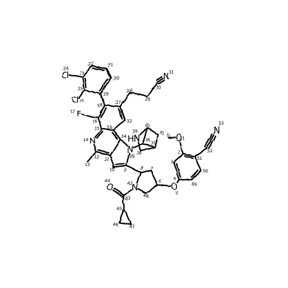 COc1cc(OC2CC(c3cc4c(C)nc5c(F)c(-c6cccc(Cl)c6Cl)c(CCC#N)cc5c4n3C3C4CNC3C4)N(C(=O)C3CC3)C2)ccc1C#N